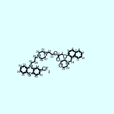 O=C(COc1ccc2ccccc2c1CN1CCOCC1)OCCN1CCN(CCCN2c3ccccc3Sc3ccc(C(F)(F)F)cc32)CC1